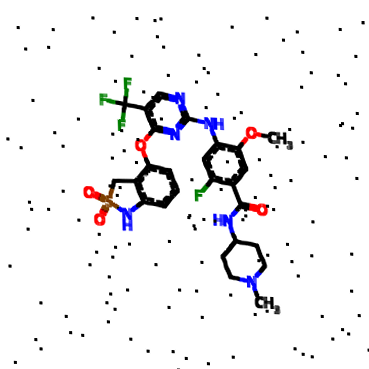 COc1cc(C(=O)NC2CCN(C)CC2)c(F)cc1Nc1ncc(C(F)(F)F)c(Oc2cccc3c2CS(=O)(=O)N3)n1